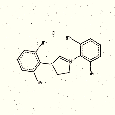 CC(C)c1cccc(C(C)C)c1N1C=[N+](c2c(C(C)C)cccc2C(C)C)CC1.[Cl-]